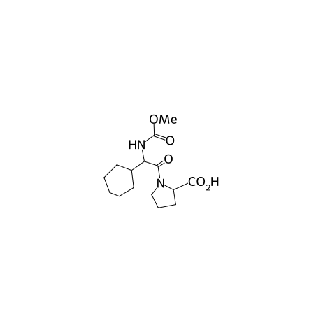 COC(=O)NC(C(=O)N1CCCC1C(=O)O)C1CCCCC1